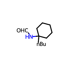 CCCCC1(NC=O)CCCCC1